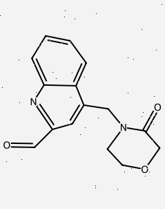 O=Cc1cc(CN2CCOCC2=O)c2ccccc2n1